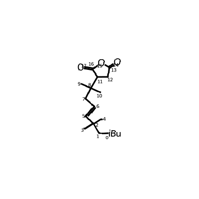 CCC(C)CC(C)(C)C=CCC(C)(C)C1CC(=O)OC1=O